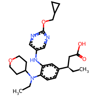 CC[C@H](CC(=O)O)c1ccc(N(CC)C2CCOCC2)c(Nc2cnc(OCC3CC3)nc2)c1